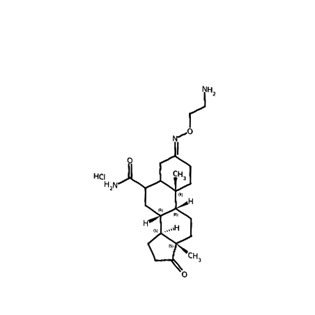 C[C@]12CCC(=NOCCN)CC1C(C(N)=O)C[C@@H]1[C@H]2CC[C@]2(C)C(=O)CC[C@@H]12.Cl